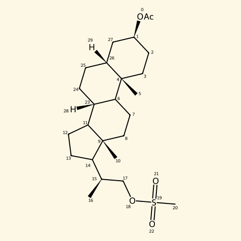 CC(=O)O[C@H]1CC[C@]2(C)C3CC[C@@]4(C)C(CCC4[C@H](C)COS(C)(=O)=O)[C@@H]3CC[C@@H]2C1